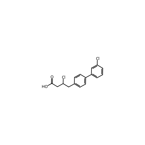 O=C(O)CC(Cl)Cc1ccc(-c2cccc(Cl)c2)cc1